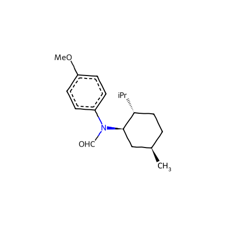 COc1ccc(N(C=O)[C@@H]2C[C@H](C)CC[C@H]2C(C)C)cc1